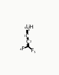 C=C=C=C(F)F.[LiH]